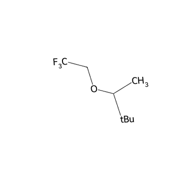 CC(OCC(F)(F)F)C(C)(C)C